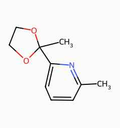 Cc1cccc(C2(C)OCCO2)n1